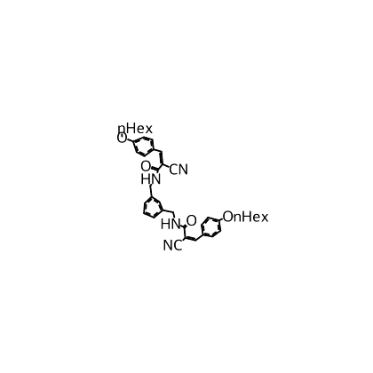 CCCCCCOc1ccc(/C=C(/C#N)C(=O)NCc2cccc(CNC(=O)/C(C#N)=C\c3ccc(OCCCCCC)cc3)c2)cc1